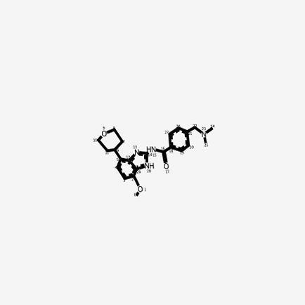 COc1ccc(C2CCOCC2)c2nc(NC(=O)c3ccc(CN(C)C)cc3)[nH]c12